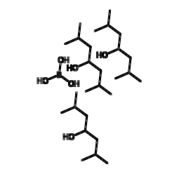 CC(C)CC(O)CC(C)C.CC(C)CC(O)CC(C)C.CC(C)CC(O)CC(C)C.OB(O)O